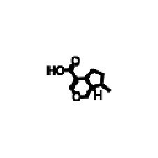 CC1CCC2C(C(=O)O)=COC[C@H]12